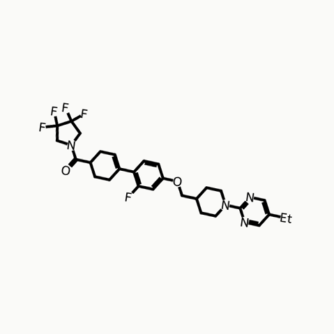 CCc1cnc(N2CCC(COc3ccc(C4=CCC(C(=O)N5CC(F)(F)C(F)(F)C5)CC4)c(F)c3)CC2)nc1